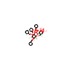 OCCO[C@@]1(Cc2ccccc2)c2c(OCc3ccccc3)c(Br)c(OCc3ccccc3)c(Br)c2O[C@H](c2cc(O)c(O)cc2Br)[C@@H]1OCc1ccccc1